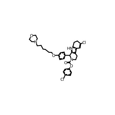 O=C(Oc1ccc(Cl)cc1)N1CCc2c([nH]c3c2C=C(Cl)CC3)C1c1ccc(OCCCCCCN2CCOCC2)cc1